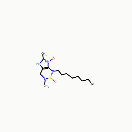 CC(=O)CCCCCCCN1C2=C(CN(C)[S+]1[O-])NC(C)[NH+]2[O-]